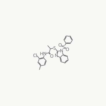 Cc1ccc(NC(=O)C(C)Sc2nc3ccccc3n2S(=O)(=O)c2ccccc2)c(Cl)c1